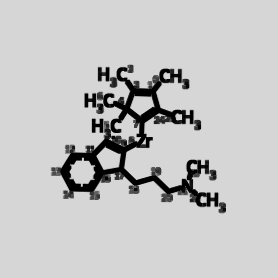 CC1=C(C)C(C)(C)[C]([Zr][C]2=Cc3ccccc3C2CCCN(C)C)=C1C